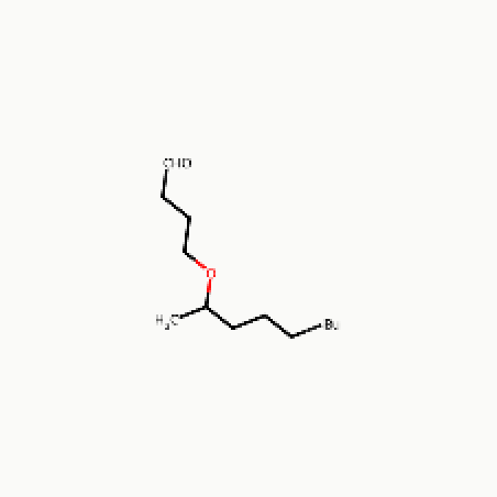 CCC(C)CCCC(C)OCCCC=O